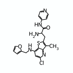 Cc1c(CC(N)C(=O)Nc2ccncc2)sc2c(NCc3ccco3)cc(Cl)nc12